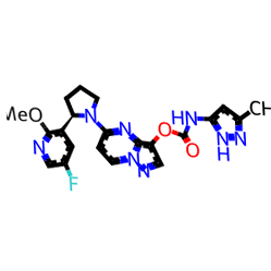 COc1ncc(F)cc1[C@H]1CCCN1c1ccn2ncc(OC(=O)Nc3cc(C)n[nH]3)c2n1